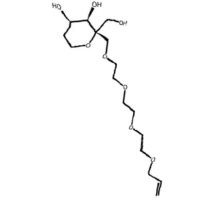 C=CCOCCOCCOCCOC[C@@]1(CO)OCC[C@@H](O)[C@H]1O